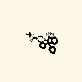 CC(C)(C)OC(=O)N1CCN(C(c2nnn[nH]2)C(c2ccccc2)(c2ccccc2)c2ccccc2)CC1